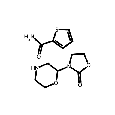 NC(=O)c1cccs1.O=C1OCCN1C1CNCCO1